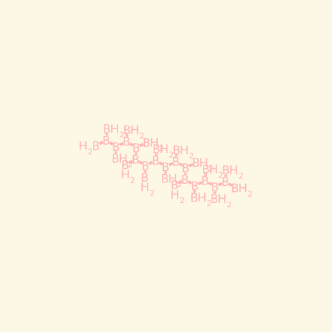 BB(B)B(B)B(B)B(B)B(B)B(B)B(B)B(B)B(B)B(B)B(B)B(B)B(B)B(B)B(B)B